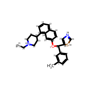 Cc1cccc(C(Oc2ccc3cccc(C4CCN(CC(C)C)CC4)c3c2)c2cncs2)c1